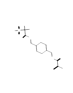 C=C(C)C(=O)OCC1CCC(COC(=O)C(F)(F)S(=O)(=O)O)CC1